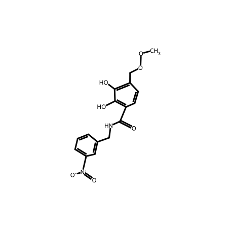 COOCc1ccc(C(=O)NCc2cccc([N+](=O)[O-])c2)c(O)c1O